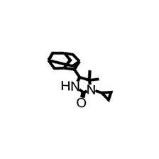 CC1(C)C(C2C3CC4CC(C3)CC2C4)NC(=O)N1C1CC1